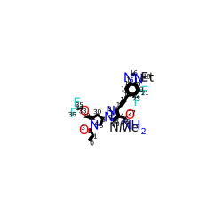 C=CC(=O)N1C[C@@H](n2nc(C#Cc3cc4ncn(CC)c4c(F)c3F)c(C(N)=O)c2NC)C/C1=C\OC(F)F